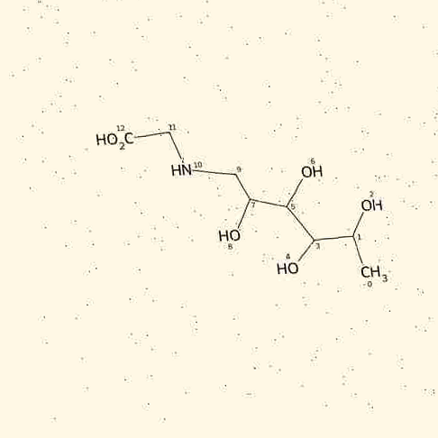 CC(O)C(O)C(O)C(O)CNCC(=O)O